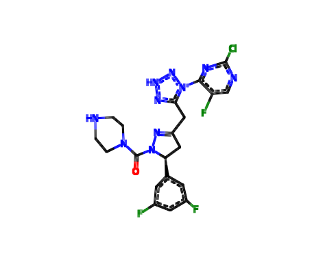 O=C(N1CCNCC1)N1N=C(Cc2n[nH]n[n+]2-c2nc(Cl)ncc2F)C[C@H]1c1cc(F)cc(F)c1